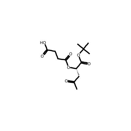 CC(=O)C[C@H](OC(=O)CCC(=O)O)C(=O)OC(C)(C)C